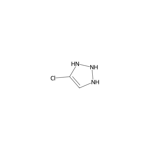 ClC1=CNNN1